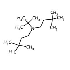 CC(C)(C)CCN(CCC(C)(C)C)C(C)(C)C